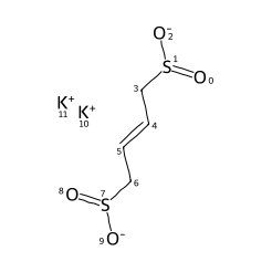 O=S([O-])CC=CCS(=O)[O-].[K+].[K+]